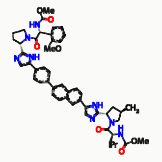 COC(=O)N[C@H](C(=O)N1C[C@H](C)C[C@H]1c1ncc(-c2ccc3cc(-c4ccc(-c5cnc([C@@H]6CCCN6C(=O)[C@H](NC(=O)OC)c6ccccc6OC)[nH]5)cc4)ccc3c2)[nH]1)C(C)C